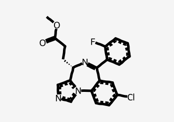 COC(=O)CC[C@@H]1N=C(c2ccccc2F)c2cc(Cl)ccc2-n2cncc21